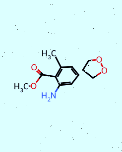 C1COOC1.COC(=O)c1c(C)cccc1N